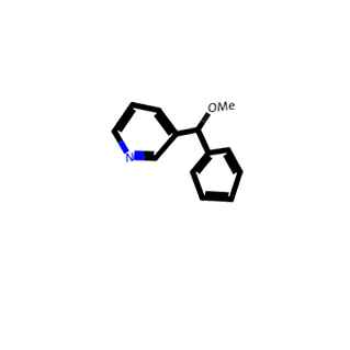 COC(c1ccccc1)c1cccnc1